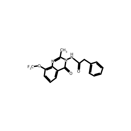 Cc1nc2c(OC(F)(F)F)cccc2c(=O)n1NC(=O)Cc1ccccc1